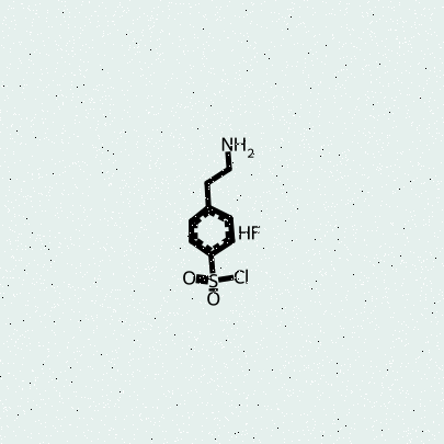 F.NCCc1ccc(S(=O)(=O)Cl)cc1